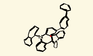 c1ccc(-c2cccc(-c3ccc(N(c4ccccc4-c4cc5ccccc5o4)c4cccc5ccccc45)cc3)c2)cc1